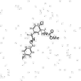 COC(=O)NCc1cc(C(C)=NOCc2ccc(F)cc2)ccc1Cl